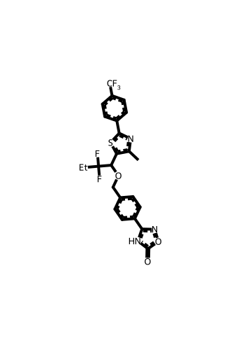 CCC(F)(F)C(OCc1ccc(-c2noc(=O)[nH]2)cc1)c1sc(-c2ccc(C(F)(F)F)cc2)nc1C